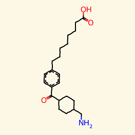 NCC1CCC(C(=O)c2ccc(CCCCCCCC(=O)O)cc2)CC1